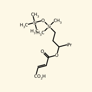 CC(C)C(CC[Si](C)(C)O[Si](C)(C)C)OC(=O)/C=C/C(=O)O